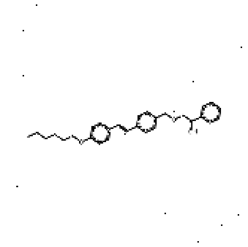 CCCCCCOc1ccc(C=Cc2ccc(COC[C@H](O)c3ccccc3)cc2)cc1